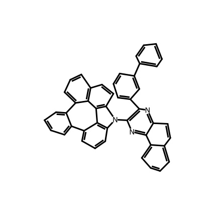 c1ccc(-c2cccc(-c3nc4ccc5ccccc5c4nc3-n3c4cccc5c4c4c6c(cccc6ccc43)-c3ccccc3-5)c2)cc1